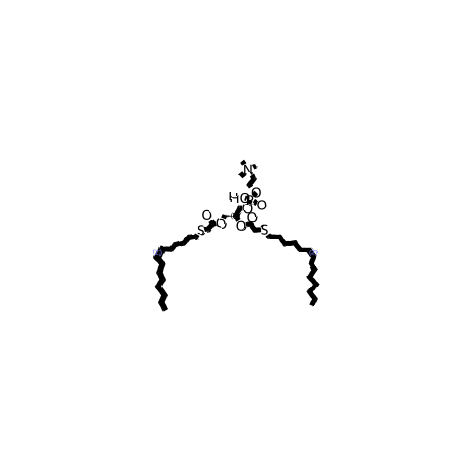 CCCCCCC/C=C\CCCCCSCC(=O)OC[C@H](COP(=O)(O)OCC[N+](C)(C)C)OC(=O)CSCCCCC/C=C\CCCCCCC